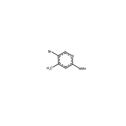 CNc1cc(C)c(Br)cn1